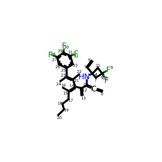 C=C=C(NC1(C=C)CC(F)(F)C1)C(=C)C(=C(/C)CCCC)/C(C)=C(\C)c1cc(F)c(F)c(F)c1